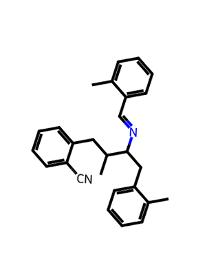 Cc1ccccc1/C=N/C(Cc1ccccc1C)C(C)Cc1ccccc1C#N